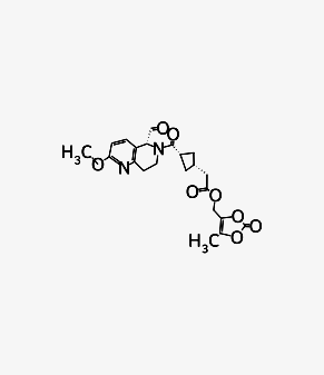 COc1ccc2c(n1)CCN(C(=O)[C@H]1C[C@@H](CC(=O)OCc3oc(=O)oc3C)C1)[C@H]2C=O